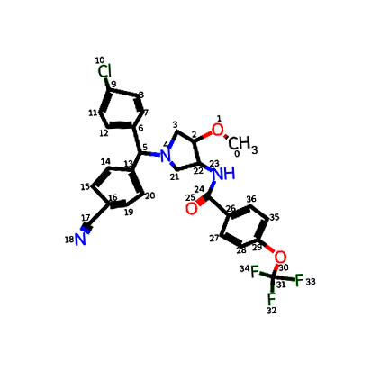 COC1CN(C(c2ccc(Cl)cc2)c2ccc(C#N)cc2)CC1NC(=O)c1ccc(OC(F)(F)F)cc1